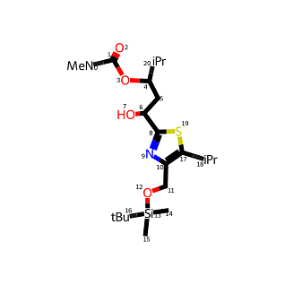 CNC(=O)OC(CC(O)c1nc(CO[Si](C)(C)C(C)(C)C)c(C(C)C)s1)C(C)C